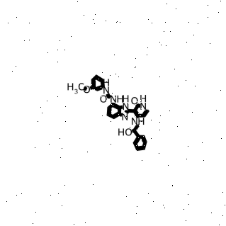 COc1cccc(NC(=O)Nc2cccc3nc(-c4c(NCC(O)c5ccccc5)cc[nH]c4=O)[nH]c23)c1